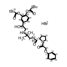 Br.CC(C)(CNC(=O)[C@@H]1CCCN1C(=O)COc1ccccc1)NCC(O)c1ccc(OC(=O)C(C)(C)C)c(OC(=O)C(C)(C)C)c1